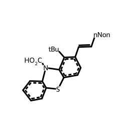 CCCCCCCCCC=Cc1ccc2c(c1C(C)(C)C)N(C(=O)O)c1ccccc1S2